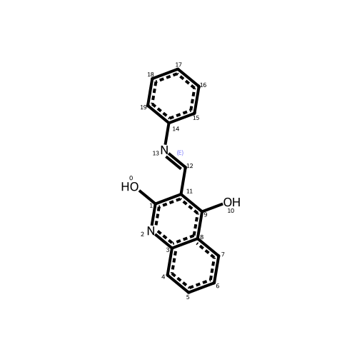 Oc1nc2ccccc2c(O)c1/C=N/c1ccccc1